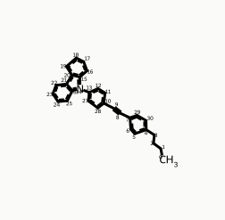 CCCCc1ccc(C#Cc2ccc(-n3c4ccccc4c4ccccc43)cc2)cc1